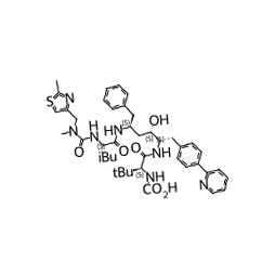 CCC(C)[C@H](NC(=O)N(C)Cc1csc(C)n1)C(=O)N[C@@H](Cc1ccccc1)C[C@H](O)[C@H](Cc1ccc(-c2ccccn2)cc1)NC(=O)[C@@H](NC(=O)O)C(C)(C)C